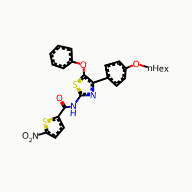 CCCCCCOc1ccc(-c2nc(NC(=O)c3ccc([N+](=O)[O-])s3)sc2Oc2ccccc2)cc1